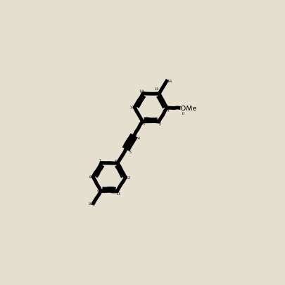 COc1cc(C#Cc2ccc(C)cc2)ccc1C